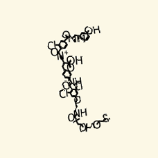 CSCCOCCC(C)(C)OCCC(C)(C)C(=O)NCCCOc1cc(Cl)c(C(=O)Nc2ccc(CC(C#[N+]C(=O)c3ccc(C(=O)NCc4cccc(O)c4)cc3Cl)C(=O)O)cc2)c(Cl)c1